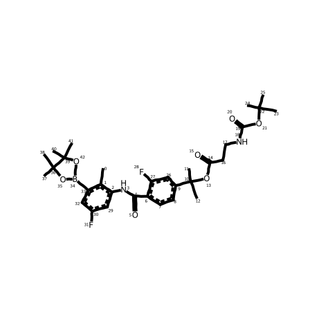 Cc1c(NC(=O)c2ccc(C(C)(C)OC(=O)CCNC(=O)OC(C)(C)C)cc2F)cc(F)cc1B1OC(C)(C)C(C)(C)O1